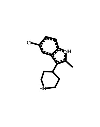 Cc1[nH]c2ccc(Cl)cc2c1C1CCNCC1